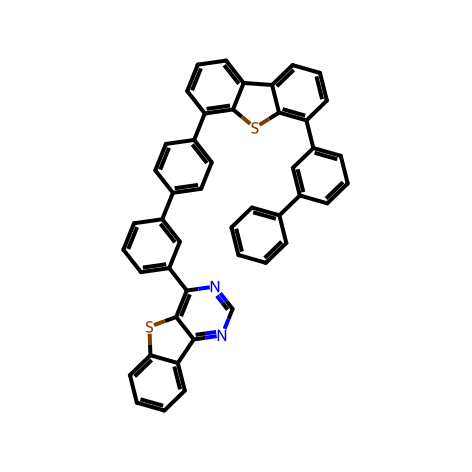 c1ccc(-c2cccc(-c3cccc4c3sc3c(-c5ccc(-c6cccc(-c7ncnc8c7sc7ccccc78)c6)cc5)cccc34)c2)cc1